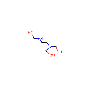 OCNCCN(CO)CO